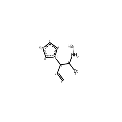 Br.C=CC(C(N)CC)n1ccnc1